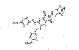 COc1ccc(COc2cc3c(cc2OCc2ccc(OC)cc2)C(=O)N(NCC24CCN(CC2)CC4)C3=O)cc1